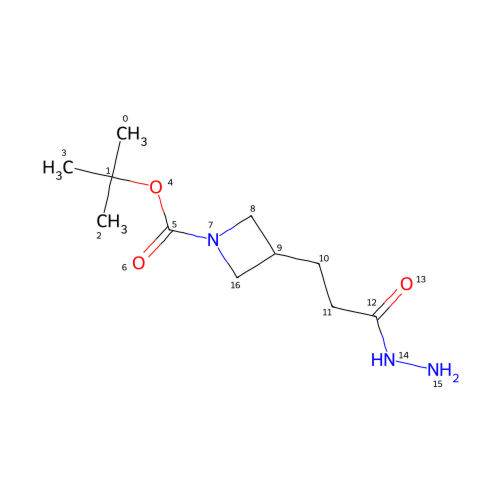 CC(C)(C)OC(=O)N1CC(CCC(=O)NN)C1